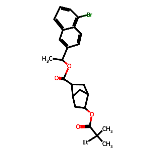 CCC(C)(C)C(=O)OC1CC2CC1CC2C(=O)OC(C)c1ccc2c(Br)cccc2c1